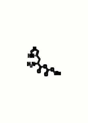 CC(C)(C)OC(=O)OC(=O)[C@@H](N)Cc1cnc[nH]1